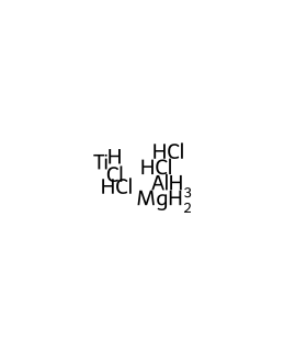 Cl.Cl.Cl.Cl.[AlH3].[MgH2].[Ti]